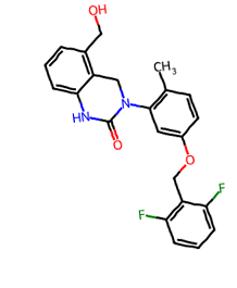 Cc1ccc(OCc2c(F)cccc2F)cc1N1Cc2c(CO)cccc2NC1=O